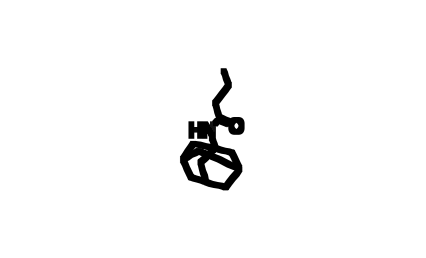 CCCC(=O)NC12CC3CC(CC(C3)C1)C2